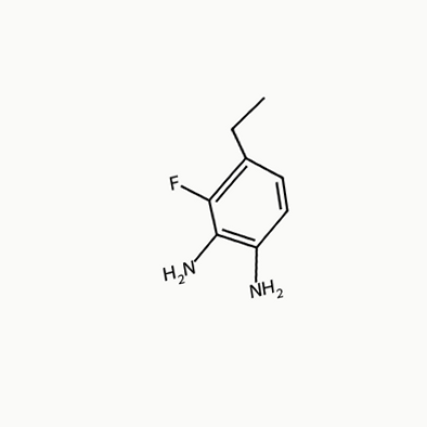 CCc1ccc(N)c(N)c1F